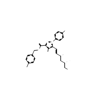 Cc1ccc(CNC(=O)c2nn(-c3ccc(F)cc3)c(/C=C/[C@@H](O)C[C@@H](O)CC(=O)O)c2C(C)C)cc1